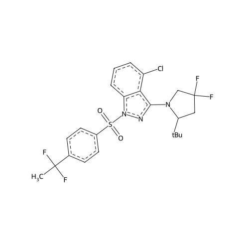 CC(F)(F)c1ccc(S(=O)(=O)n2nc(N3CC(F)(F)CC3C(C)(C)C)c3c(Cl)cccc32)cc1